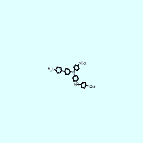 CCCCCCCCc1ccc(Nc2ccc(N(c3ccc(CCCCCCCC)cc3)c3ccc(-c4ccc(C)cc4)cc3)cc2)cc1